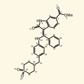 COC(=O)c1ccc2c(c1)NC(=O)/C2=C(\Nc1ccc(CN2CCS(=O)(=O)CC2)cc1)c1ccccc1